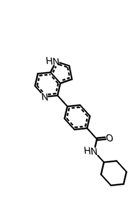 O=C(NC1CCCCC1)c1ccc(-c2nccc3[nH]ccc23)cc1